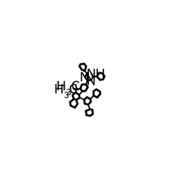 CC1(C)c2cc(C3=NC(c4ccccc4)NC(c4ccccc4)=N3)ccc2-c2c1cc1ccccc1c2-c1cc(-c2ccccc2)cc(-c2ccccc2)c1